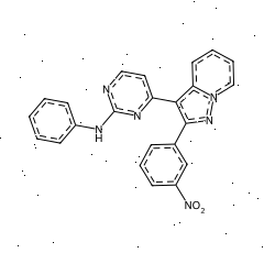 O=[N+]([O-])c1cccc(-c2nn3ccccc3c2-c2ccnc(Nc3ccccc3)n2)c1